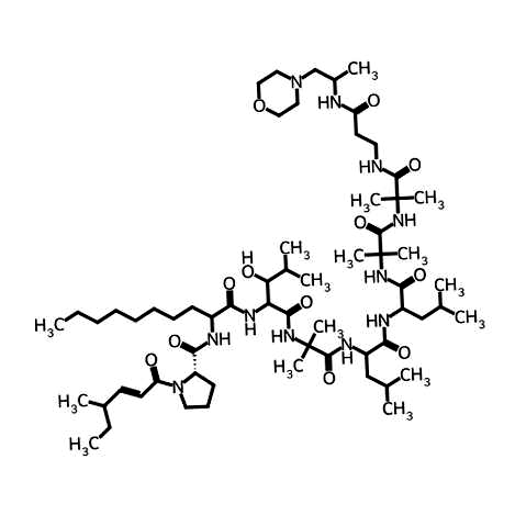 CCCCCCCCC(NC(=O)[C@@H]1CCCN1C(=O)/C=C/C(C)CC)C(=O)NC(C(=O)NC(C)(C)C(=O)NC(CC(C)C)C(=O)NC(CC(C)C)C(=O)NC(C)(C)C(=O)NC(C)(C)C(=O)NCCC(=O)NC(C)CN1CCOCC1)C(O)C(C)C